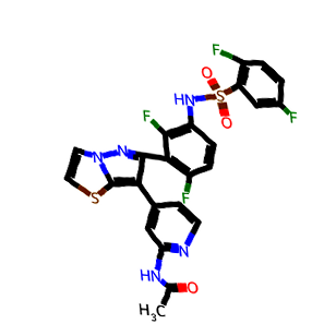 CC(=O)Nc1cc(-c2c(-c3c(F)ccc(NS(=O)(=O)c4cc(F)ccc4F)c3F)nn3ccsc23)ccn1